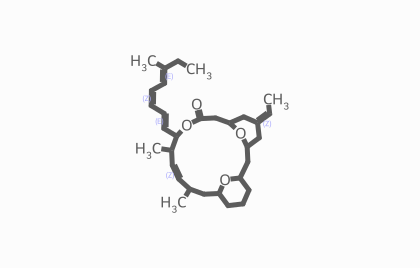 C/C=C1\CC2CC(=O)OC(/C=C/C=C\C=C(/C)CC)C(C)/C=C\C(C)CC3CCCC(CC(C1)O2)O3